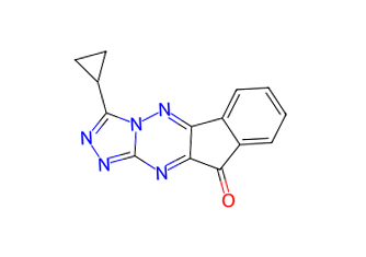 O=C1c2ccccc2-c2nn3c(C4CC4)nnc3nc21